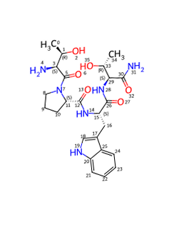 C[C@@H](O)[C@H](N)C(=O)N1CCC[C@H]1C(=O)N[C@@H](Cc1c[nH]c2ccccc12)C(=O)N[C@H](C(N)=O)[C@@H](C)O